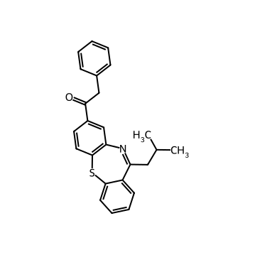 CC(C)CC1=Nc2cc(C(=O)Cc3ccccc3)ccc2Sc2ccccc21